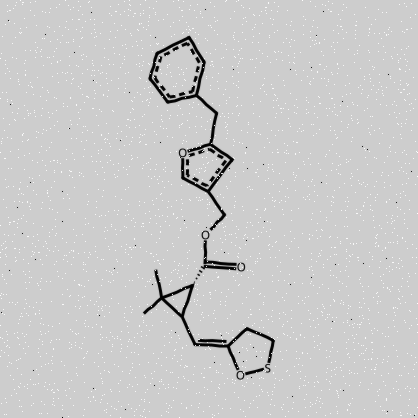 CC1(C)C(C=C2CCSO2)[C@H]1C(=O)OCc1coc(Cc2ccccc2)c1